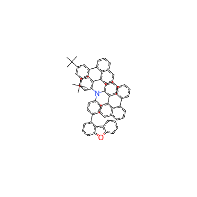 CC(C)(C)c1cc(-c2cccc3cccc(-c4ccccc4N(c4ccc(-c5cccc6oc7ccccc7c56)cc4)c4ccccc4-c4cccc5cccc(-c6ccccc6)c45)c23)cc(C(C)(C)C)c1